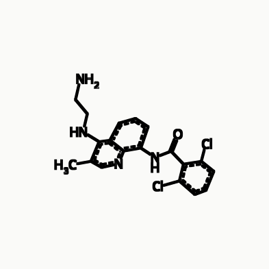 Cc1cnc2c(NC(=O)c3c(Cl)cccc3Cl)cccc2c1NCCN